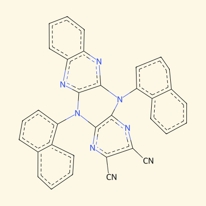 N#Cc1nc2c(nc1C#N)N(c1cccc3ccccc13)c1nc3ccccc3nc1N2c1cccc2ccccc12